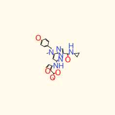 COC(=O)c1occc1Nc1cc(N(C)Cc2ccc(OC)cc2)c2ncc(C(=O)NC3CC3)n2n1